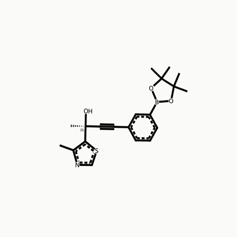 Cc1ncsc1[C@@](C)(O)C#Cc1cccc(B2OC(C)(C)C(C)(C)O2)c1